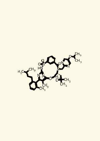 Cc1cccc(CCC(C)C)c1-c1nc2nc(c1C)OC[C@@H](CC(C)(C)C)N(Cc1ncc(OC(C)C)cn1)C(=O)c1cccc(c1)S(=O)(=O)N2